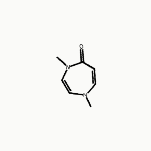 CN1C=CC(=O)N(C)C=C1